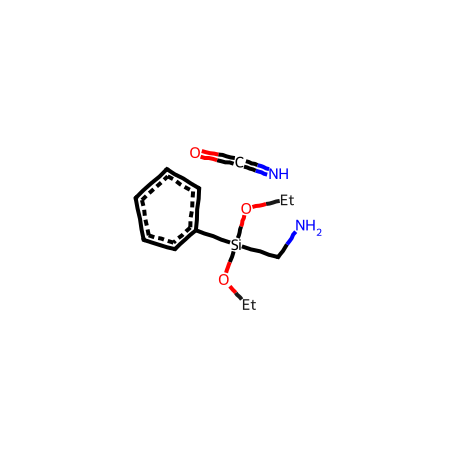 CCO[Si](CN)(OCC)c1ccccc1.N=C=O